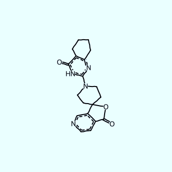 O=C1OC2(CCN(c3nc4c(c(=O)[nH]3)CCCC4)CC2)c2cnccc21